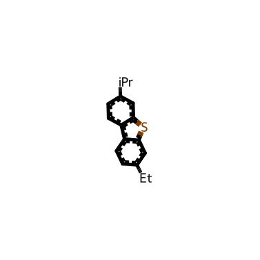 CCc1ccc2c(c1)sc1cc(C(C)C)ccc12